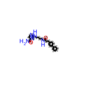 NC(=O)c1ccnc(NCCCCNC(=O)[CH]Cc2ccc(-c3ccccc3)cc2)n1